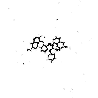 Cc1ccc2nc(O)ccc2c1Oc1cccc2c(N3CCNCC3)c(C#N)c(-c3cccc4c3CCN(C)C4)nc12